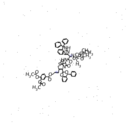 CC(=O)Oc1ccc(C(=O)OC/C=C/C2=C(C(=O)OC(c3ccccc3)c3ccccc3)N3C(=O)C(NC(=O)/C(=N\OC(C)(C)C(=O)OC(C)(C)C)c4csc(NC(c5ccccc5)(c5ccccc5)c5ccccc5)n4)[C@H]3SC2)cc1OC(C)=O